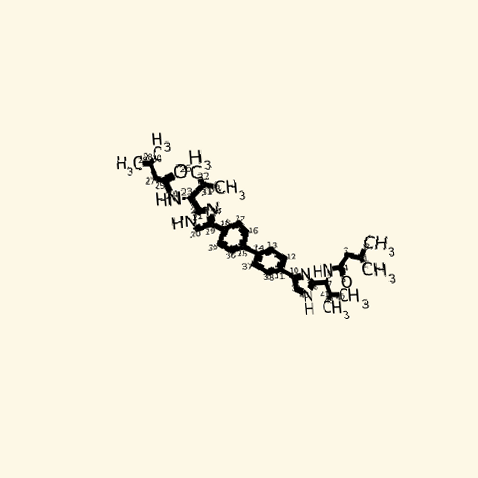 CC(C)CC(=O)N[C@@H](c1nc(-c2ccc(-c3ccc(-c4c[nH]c([C@H](NC(=O)CC(C)C)C(C)C)n4)cc3)cc2)c[nH]1)C(C)C